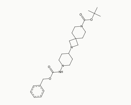 CC(C)(C)OC(=O)N1CCC2(CC1)CN(C1CCN(NC(=O)OCc3ccccc3)CC1)C2